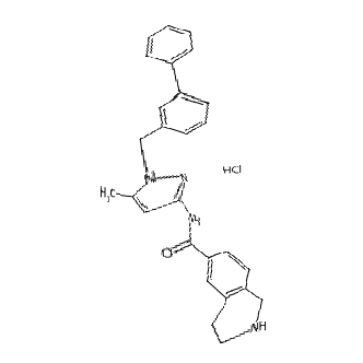 Cc1cc(NC(=O)c2ccc3c(c2)CCNC3)nn1Cc1cccc(-c2ccccc2)c1.Cl